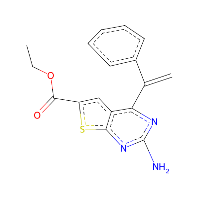 C=C(c1ccccc1)c1nc(N)nc2sc(C(=O)OCC)cc12